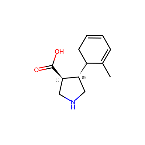 CC1=CC=CCC1[C@@H]1CNC[C@H]1C(=O)O